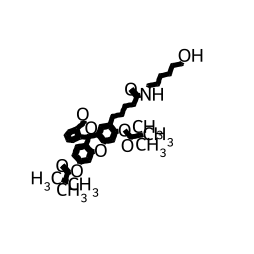 CC(C)(C)C(=O)Oc1ccc2c(c1)Oc1cc(OC(=O)C(C)(C)C)c(CCCCC(=O)NCCCCCCO)cc1C21OC(=O)c2ccccc21